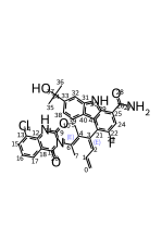 C=C/C=C(\C(C)=C(/C)n1c(=O)[nH]c2c(Cl)cccc2c1=O)c1c(F)cc(C(N)=O)c2[nH]c3cc(C(C)(C)O)ccc3c12